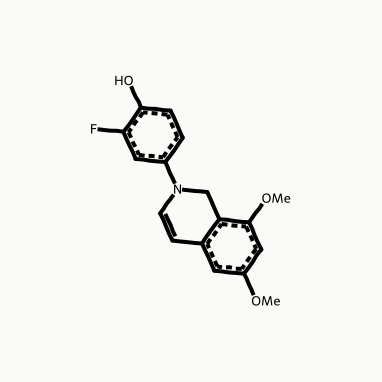 COc1cc2c(c(OC)c1)CN(c1ccc(O)c(F)c1)C=C2